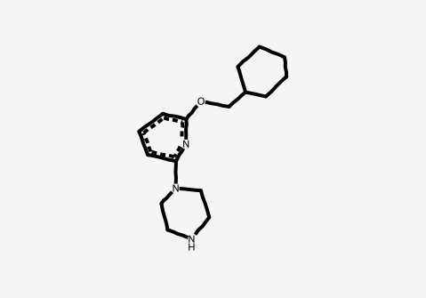 c1cc(OCC2CCCCC2)nc(N2CCNCC2)c1